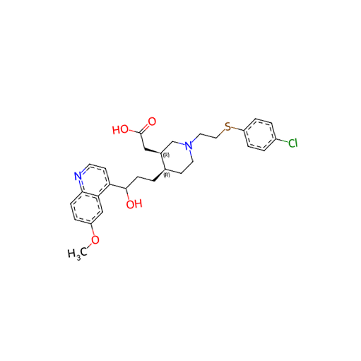 COc1ccc2nccc(C(O)CC[C@@H]3CCN(CCSc4ccc(Cl)cc4)C[C@@H]3CC(=O)O)c2c1